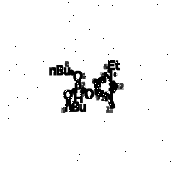 CCCCO[PH](=O)OCCCC.CC[n+]1ccn(C)c1